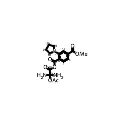 COC(=O)c1ccc(C(=O)OC(=O)C(N)(N)OC(C)=O)c(N2CCCC2)c1